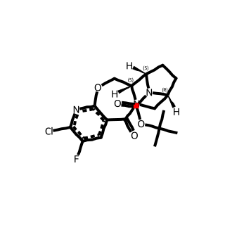 CC(C)(C)OC(=O)N1[C@@H]2CC[C@H]1[C@H]1COc3nc(Cl)c(F)cc3C(=O)N1C2